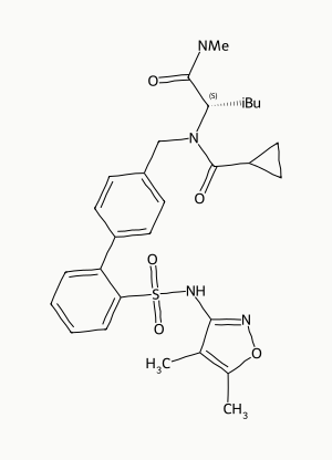 CCC(C)[C@@H](C(=O)NC)N(Cc1ccc(-c2ccccc2S(=O)(=O)Nc2noc(C)c2C)cc1)C(=O)C1CC1